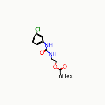 CCCCCCC(=O)OCCNC(=O)Nc1cccc(Cl)c1